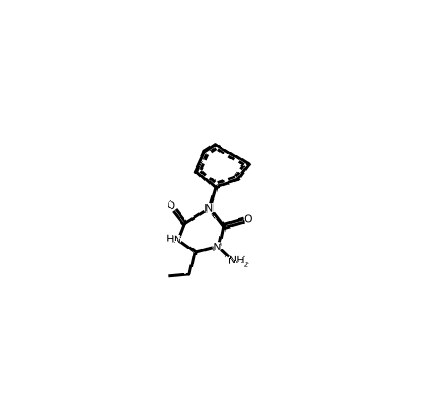 CCC1NC(=O)N(c2ccccc2)C(=O)N1N